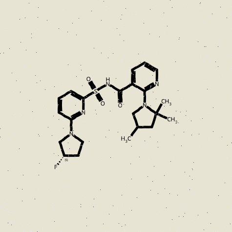 CC1CN(c2ncccc2C(=O)NS(=O)(=O)c2cccc(N3CC[C@H](F)C3)n2)C(C)(C)C1